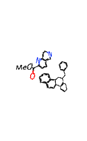 C1=CC2=C(CC1)C(Cc1ccccc1)Cc1c2ccc2ccccc12.COC(=O)c1ccc2cnccc2n1